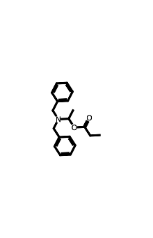 CCC(=O)OC(C)N(Cc1ccccc1)Cc1ccccc1